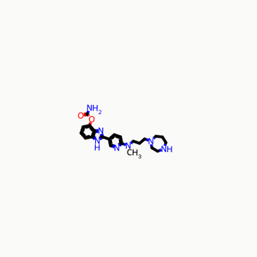 CN(CCCN1CCCNCC1)c1ccc(-c2nc3c(OC(N)=O)cccc3[nH]2)cn1